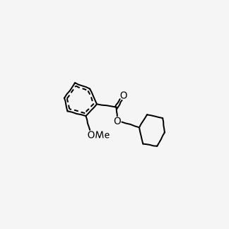 COc1ccccc1C(=O)OC1CCCCC1